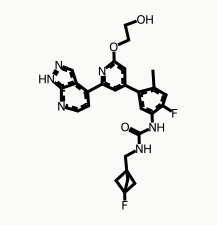 Cc1cc(F)c(NC(=O)NCC23CC(F)(C2)C3)cc1-c1cc(OCCO)nc(-c2ccnc3[nH]ncc23)c1